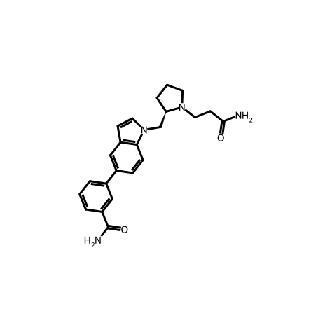 NC(=O)CCN1CCC[C@@H]1Cn1ccc2cc(-c3cccc(C(N)=O)c3)ccc21